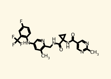 Cc1ncc(C(=O)NC2(C(=O)NCc3ncc(Nc4ccc(F)cc4C(F)(F)F)cc3C)CC2)cn1